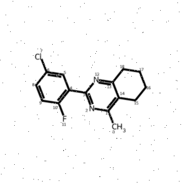 Cc1nc(-c2cc(Cl)ccc2F)nc2c1CCCC2